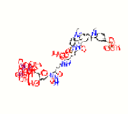 CCN1/C(=C/C=C/C2=[N+](CC)c3ccc(SOOO)cc3C2(C)C)C(C)(CCCC(=O)NCCCCCC(=O)NC/C=C/c2cn([C@H]3C[C@@H](O)[C@@H](COP(=O)(O)OP(=O)(O)OP(=O)(O)O)O3)c(=O)[nH]c2=O)c2cc(S(=O)(=O)O)ccc21